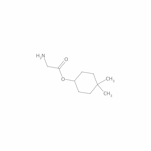 CC1(C)CCC(OC(=O)CN)CC1